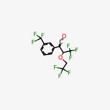 O=C=C(c1cccc(C(F)(F)F)c1)C(OCC(F)(F)F)C(F)(F)F